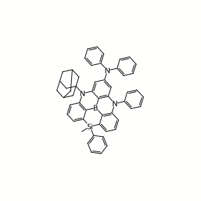 C[Si]1(c2ccccc2)c2cccc3c2B2c4c(cc(N(c5ccccc5)c5ccccc5)cc4N(C45CC6CC(CC(C6)C4)C5)c4cccc1c42)N3c1ccccc1